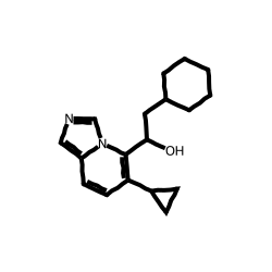 OC(CC1CCCCC1)c1c(C2CC2)ccc2cncn12